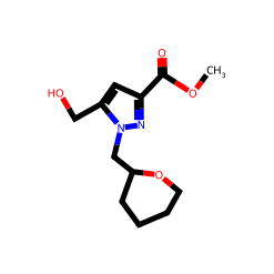 COC(=O)c1cc(CO)n(CC2CCCCO2)n1